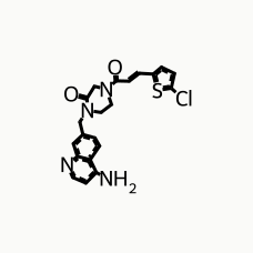 Nc1ccnc2cc(CN3CCN(C(=O)C=Cc4ccc(Cl)s4)CC3=O)ccc12